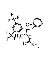 CC(OC(N)=O)C(O)(Cc1ccccc1)c1cc(C(F)(F)F)cc(C(F)(F)F)c1